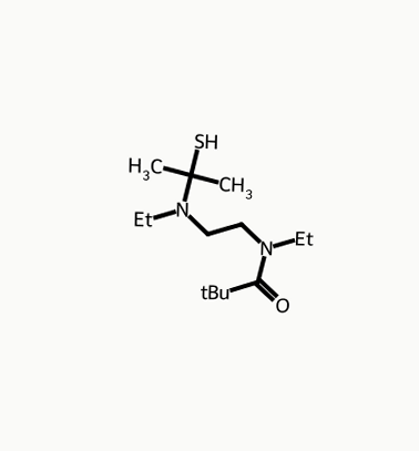 CCN(CCN(CC)C(C)(C)S)C(=O)C(C)(C)C